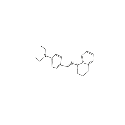 CCN(CC)c1ccc(C=NN2CCCc3ccccc32)cc1